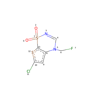 O=S1(=O)N=CN(CF)c2cc(Cl)sc21